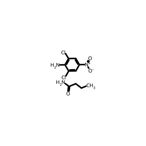 CCCC(N)=O.Nc1c(Cl)cc([N+](=O)[O-])cc1Cl